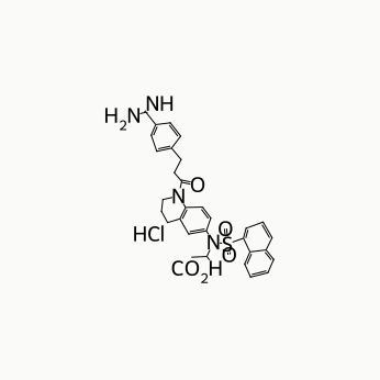 CC(C(=O)O)N(c1ccc2c(c1)CCCN2C(=O)CCc1ccc(C(=N)N)cc1)S(=O)(=O)c1cccc2ccccc12.Cl